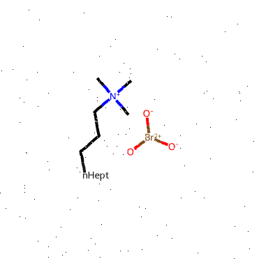 CCCCCCCCCC[N+](C)(C)C.[O-][Br+2]([O-])[O-]